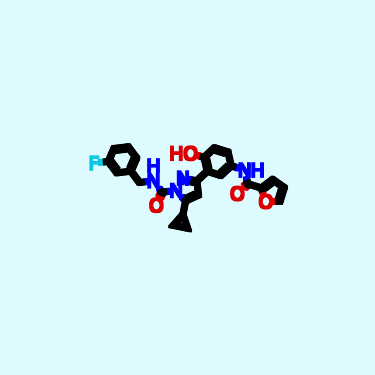 O=C(Nc1ccc(O)c(-c2cc(C3CC3)n(C(=O)NCc3cccc(F)c3)n2)c1)c1ccco1